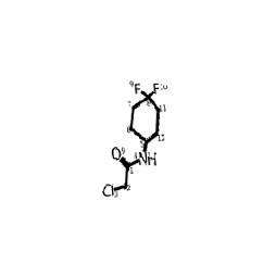 O=C(CCl)NC1CCC(F)(F)CC1